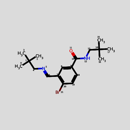 CC(C)(C)CN=Cc1cc(C(=O)NCC(C)(C)C)ccc1Br